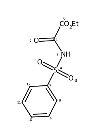 CCOC(=O)C(=O)NS(=O)(=O)c1ccccc1